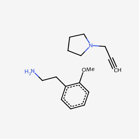 C#CCN1CCCC1.COc1ccccc1CCN